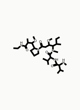 CCNC(=O)C(C)C(OC)C1CCCN1C(=O)CC(OC)C(C(C)CC)N(C)C(=O)C(NC(=O)C(NC)C(C)C)C(C)C